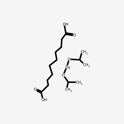 CC(C)[O][Dy][O]C(C)C.O=C(O)CCCCCCCCC(=O)O